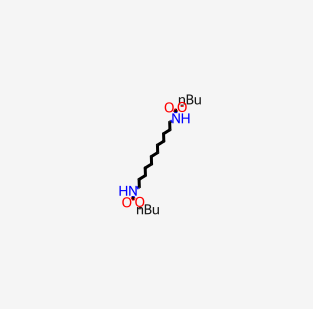 CCCCOC(=O)NCCCCCCCCCCCCNC(=O)OCCCC